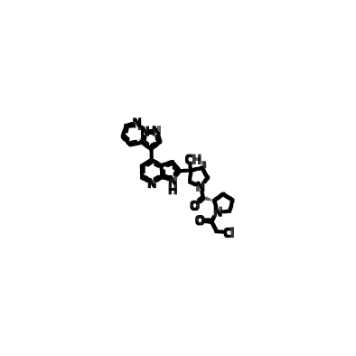 CC1(c2cc3c(-c4cnn5ncccc45)ccnc3[nH]2)CCN(C(=O)[C@@H]2CCCN2C(=O)CCl)C1